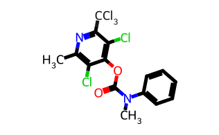 Cc1nc(C(Cl)(Cl)Cl)c(Cl)c(OC(=O)N(C)c2ccccc2)c1Cl